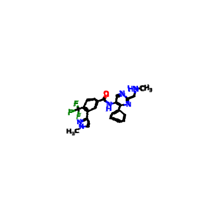 CNCc1ncc(NC(=O)c2ccc(C(F)(F)F)c(-c3ccn(C)n3)c2)c(-c2ccccc2)n1